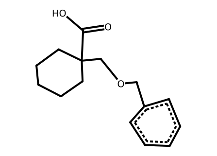 O=C(O)C1(COCc2ccccc2)CCCCC1